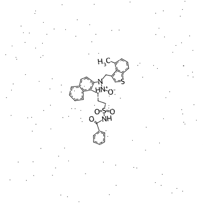 Cc1cccc2scc(CN3c4ccc5ccccc5c4C(CCS(=O)(=O)NC(=O)c4ccccc4)[NH+]3[O-])c12